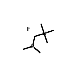 CP(C)C[N+](C)(C)C.[I-]